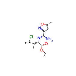 C=C(Cl)/C(C)=C(\N=C(/N)c1cc(C)on1)C(=O)OCC